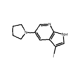 Ic1c[nH]c2ncc(N3CCCC3)cc12